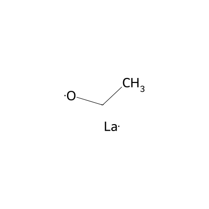 CC[O].[La]